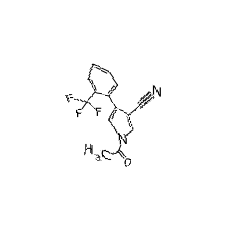 CC(=O)n1cc(C#N)c(-c2ccccc2C(F)(F)F)c1